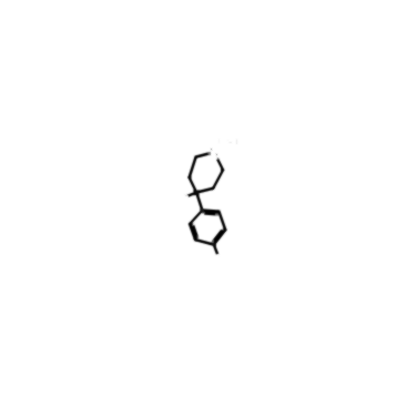 Cc1ccc(C2(O)CCN(C(C)(C)C)CC2)cc1